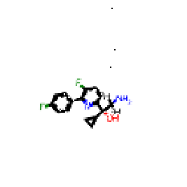 [2H]C([2H])(N)C(O)(c1ccc(F)c(-c2ccc(F)cc2)n1)C1CC1